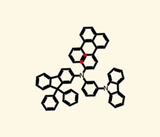 c1ccc(-c2cccc3cccc(-c4ccc(N(c5cccc(-n6c7ccccc7c7ccccc76)c5)c5ccc6c(c5)C(c5ccccc5)(c5ccccc5)c5ccccc5-6)cc4)c23)cc1